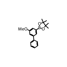 COc1cc(B2OC(C)(C)C(C)(C)O2)cc(-c2ccccc2)c1